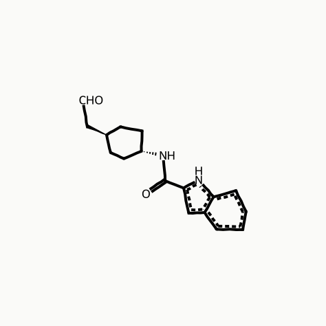 O=CC[C@H]1CC[C@H](NC(=O)c2cc3ccccc3[nH]2)CC1